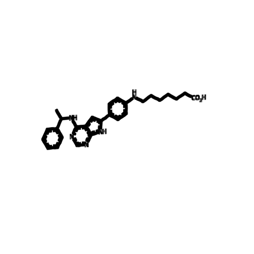 CC(Nc1ncnc2[nH]c(-c3ccc(NCCCCCCC(=O)O)cc3)cc12)c1ccccc1